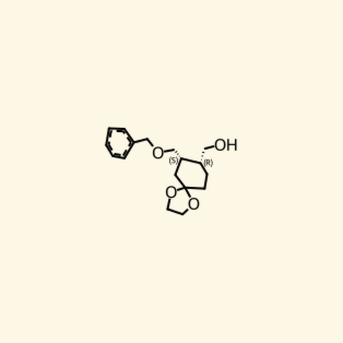 OC[C@@H]1CCC2(C[C@@H]1COCc1ccccc1)OCCO2